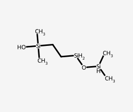 C[SiH](C)O[SiH2]CC[Si](C)(C)O